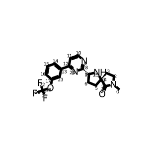 CN1CC[C@]2(CC[C@H](c3nccc(-c4cccc(OC(F)(F)F)c4)n3)N2)C1=O